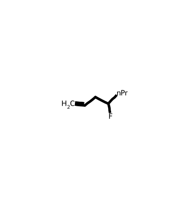 C=CCC(F)CCC